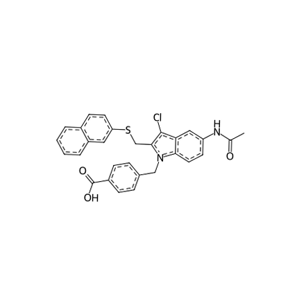 CC(=O)Nc1ccc2c(c1)c(Cl)c(CSc1ccc3ccccc3c1)n2Cc1ccc(C(=O)O)cc1